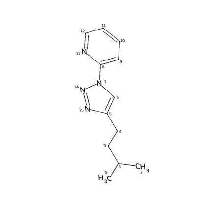 CC(C)CCc1cn(-c2ccccn2)nn1